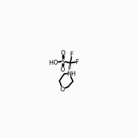 C1COCCN1.O=S(=O)(O)C(F)(F)F